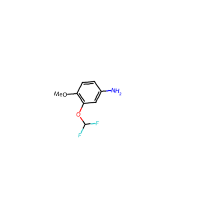 COc1ccc(N)cc1OC(F)F